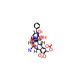 COc1c(C)cc2c(c1O)[C@@H]1C3[C@@H]4SC[C@H](NC(=O)/C=C/c5ccccc5)C(=O)OC[C@@H](c5c6c(c(C)c(OC(C)=O)c54)OCO6)N3[C@@H](C#N)[C@H](C2)N1C